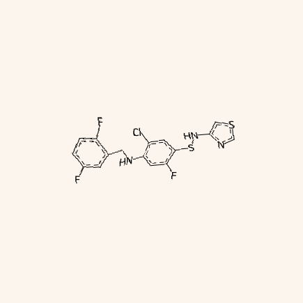 Fc1ccc(F)c(CNc2cc(F)c(SNc3cscn3)cc2Cl)c1